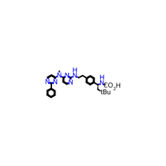 CN(c1ccnc(NCCc2ccc([C@H](CC(C)(C)C)NC(=O)O)cc2)n1)c1ccnc(-c2ccccc2)n1